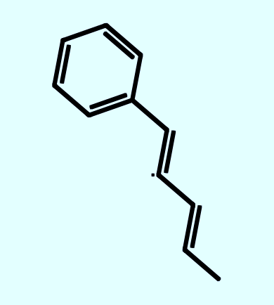 CC=C[C]=Cc1ccccc1